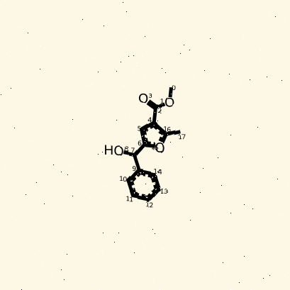 COC(=O)c1cc(C(O)c2ccccc2)oc1C